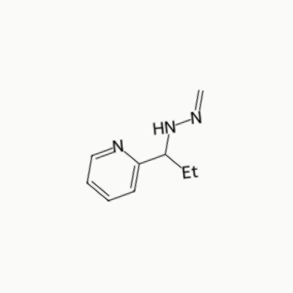 C=NNC(CC)c1ccccn1